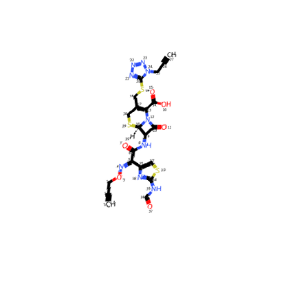 C#CCO/N=C(/C(=O)NC1C(=O)N2C(C(=O)O)=C(CSc3nnnn3CC#C)CS[C@H]12)c1csc(NC=O)n1